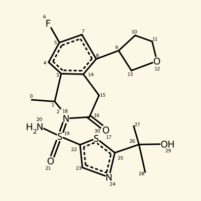 CC(C)c1cc(F)cc(C2CCOC2)c1CC(=O)N=S(N)(=O)c1cnc(C(C)(C)O)s1